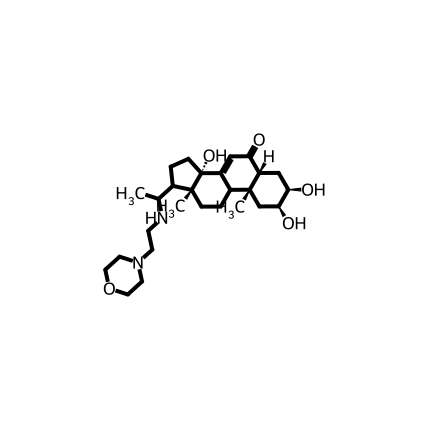 CC(NCCN1CCOCC1)C1CC[C@@]2(O)C3=CC(=O)[C@@H]4C[C@@H](O)[C@@H](O)C[C@]4(C)C3CC[C@]12C